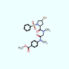 COC(=O)c1ccc(N(C)C(=O)CN(C)C(=O)C2CC(S)CN2S(=O)(=O)c2ccccc2)cc1